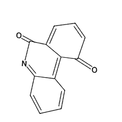 O=C1C=CC=C2C(=O)N=c3ccccc3=C12